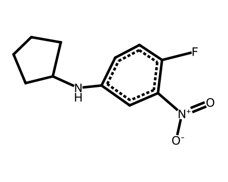 O=[N+]([O-])c1cc(NC2CCCC2)ccc1F